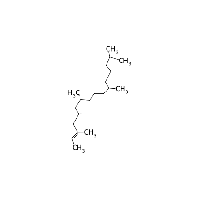 C/C=C(\C)C[CH]C[C@H](C)CCC[C@H](C)CCCC(C)C